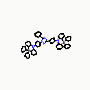 c1ccc(-c2nc(-c3ccc(N4c5ccccc5[Si](c5ccccc5)(c5ccccc5)c5ccccc54)cc3)nn2-c2ccc(N3c4ccccc4[Si](c4ccccc4)(c4ccccc4)c4ccccc43)cc2)cc1